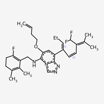 C=CCCOc1cc(C(/C=C\C(=C(C)C)C(F)F)=C\CC)c2nncn2c1NCC1=C(F)CCC(C)=C1C